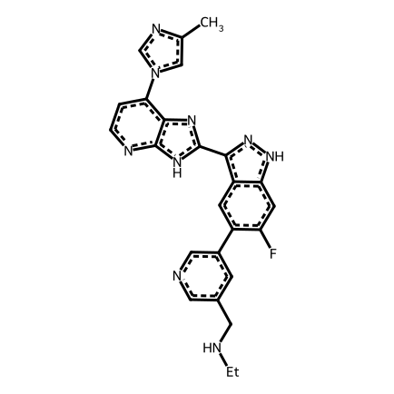 CCNCc1cncc(-c2cc3c(-c4nc5c(-n6cnc(C)c6)ccnc5[nH]4)n[nH]c3cc2F)c1